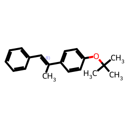 C/C(=C\c1ccccc1)c1ccc(OC(C)(C)C)cc1